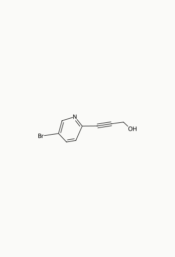 OCC#Cc1ccc(Br)cn1